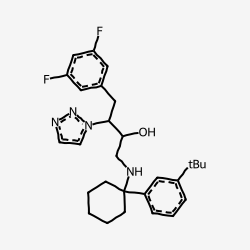 CC(C)(C)c1cccc(C2(NCC(O)C(Cc3cc(F)cc(F)c3)n3ccnn3)CCCCC2)c1